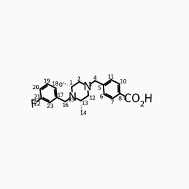 C[C@@H]1CN(Cc2ccc(C(=O)O)cc2)C[C@H](C)N1Cc1cccc(F)c1